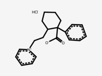 Cl.O=C([O-])C1(c2ccccc2)CCCCC1CC[n+]1ccccc1